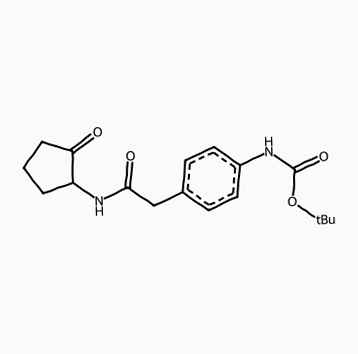 CC(C)(C)OC(=O)Nc1ccc(CC(=O)NC2CCCC2=O)cc1